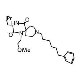 COCCN1C(=O)[C@H](CC(C)C)NC(=O)C12CCN(CCCCCCc1ccccc1)CC2